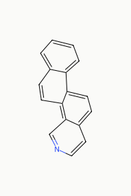 c1ccc2c(c1)ccc1c3cnccc3ccc21